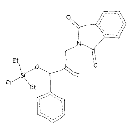 C=C(CN1C(=O)c2ccccc2C1=O)C(O[Si](CC)(CC)CC)c1ccccc1